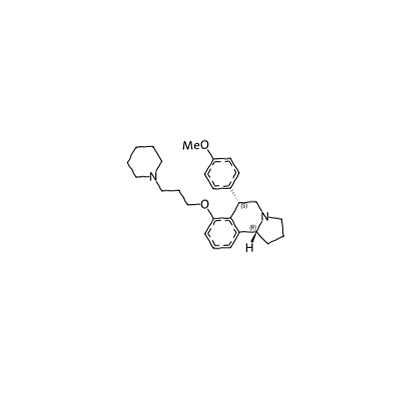 COc1ccc([C@@H]2CN3CCC[C@@H]3c3cccc(OCCCN4CCCCC4)c32)cc1